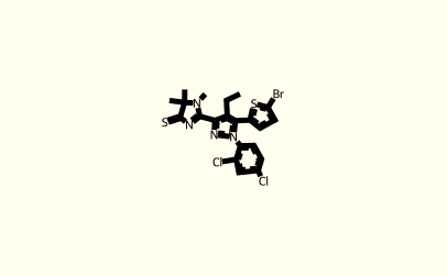 CCc1c(C2=NC(=S)C(C)(C)N2C)nn(-c2ccc(Cl)cc2Cl)c1-c1ccc(Br)s1